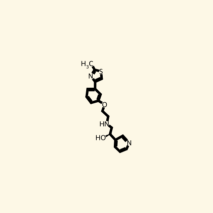 Cc1nc(-c2cccc(OCCNC[C@H](O)c3cccnc3)c2)cs1